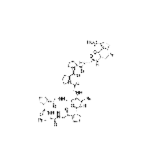 CC[C@H](C)[C@H](NC(=O)[C@@H]1CCCN1C(=O)CNC(=O)[C@H](CC(C)C)NC(=O)[C@@H]1CCCN1C(=O)CN)C(=O)NCC(=O)N1CCC[C@H]1C(=O)N1CCC[C@H]1C(=O)NCC(=O)N[C@@H](CC(C)C)C(=O)N1CCC[C@H]1C(=O)O